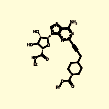 CCNC(=O)[C@H]1O[C@@H](n2cnc3c(N)nc(C#CCC4CCN(C(=O)OC(C)C)CC4)nc32)[C@@H](O)C1O